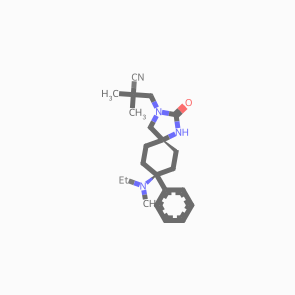 CCN(C)[C@]1(c2ccccc2)CC[C@@]2(CC1)CN(CC(C)(C)C#N)C(=O)N2